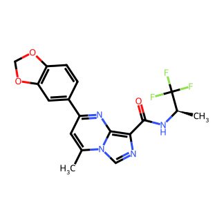 Cc1cc(-c2ccc3c(c2)OCO3)nc2c(C(=O)N[C@H](C)C(F)(F)F)ncn12